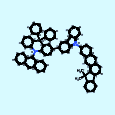 CC1(C)c2ccccc2-c2ccc3cc4ccc(-n5c6ccccc6c6cc(-c7ccc8c(c7)[Si](c7ccccc7)(c7ccccc7)c7ccccc7N8c7c8ccccc8cc8ccccc78)ccc65)cc4cc3c21